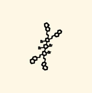 Brc1cc(-c2cc(/C=C/c3ccc4ccccc4c3)c(/C=C/c3ccc4ccccc4c3)cc2Br)c(Br)cc1-c1cc(/C=C/c2ccc3ccccc3c2)c(/C=C/c2ccc3ccccc3c2)cc1Br